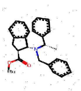 C[C@@H](c1ccccc1)N(Cc1ccccc1)[C@H]1c2ccccc2C[C@@H]1C(=O)OC(C)(C)C